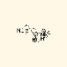 CC(C)(C)Cn1cc(CNS(=O)(=O)C2CC2)c2ccc(-c3cccc(C#N)c3F)cc21